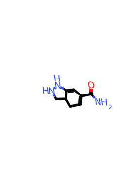 NC(=O)C1=CCC2CNNC2=C1